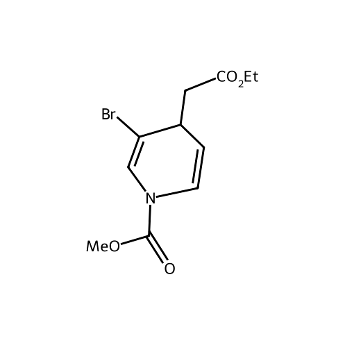 CCOC(=O)CC1C=CN(C(=O)OC)C=C1Br